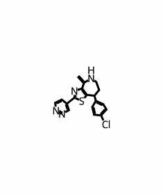 C=C1NCCC(c2ccc(Cl)cc2)c2sc(-c3ccnnc3)nc21